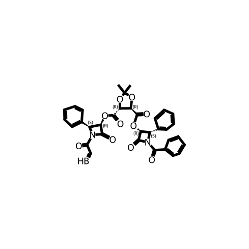 B=CC(=O)N1C(=O)[C@H](OC(=O)[C@@H]2OC(C)(C)O[C@H]2C(=O)O[C@H]2C(=O)N(C(=O)c3ccccc3)[C@H]2c2ccccc2)[C@@H]1c1ccccc1